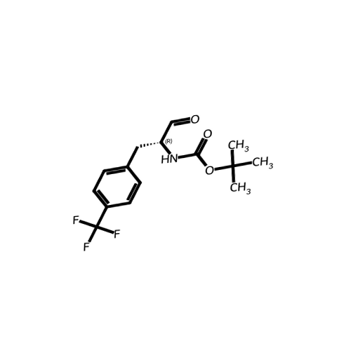 CC(C)(C)OC(=O)N[C@@H](C=O)Cc1ccc(C(F)(F)F)cc1